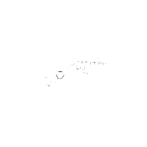 CCCNC(=O)N(CCOc1ccc(CC(OCC)C(=O)O)cc1)CC(F)(F)C(F)(F)C(F)(F)C(F)(F)C(F)(F)C(F)(F)F